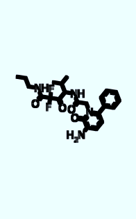 CCCNC(=O)C(F)(F)C(=O)C(NC(=O)Cn1c(-c2ccccc2)ccc(N)c1=O)C(C)C